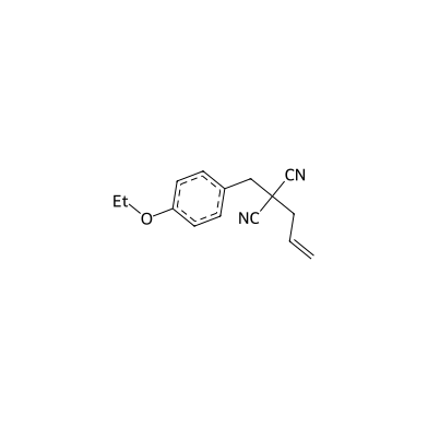 C=CCC(C#N)(C#N)Cc1ccc(OCC)cc1